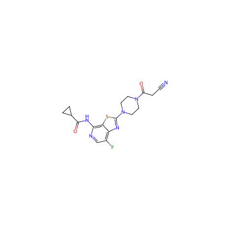 N#CCC(=O)N1CCN(c2nc3c(F)cnc(NC(=O)C4CC4)c3s2)CC1